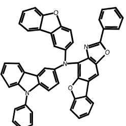 c1ccc(-c2nc3c(N(c4ccc5oc6ccccc6c5c4)c4ccc5c(c4)c4ccccc4n5-c4ccccc4)c4oc5ccccc5c4cc3o2)cc1